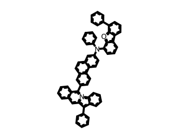 c1ccc(-c2cccc3c2oc2c(N(c4ccccc4)c4ccc5c(ccc6cc(-c7c8ccccc8cc8c(-c9ccccc9)c9ccccc9n78)ccc65)c4)cccc23)cc1